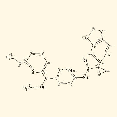 CNC(c1ccc(NC(=O)C2(c3ccc4c(c3)OCO4)CC2)nc1)c1cccc(OC)c1